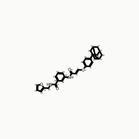 O=C(C=COc1ccc(C23CC4CC(CC(C4)C2)C3)cc1)Nc1cccc(C(=O)NCc2ccco2)c1